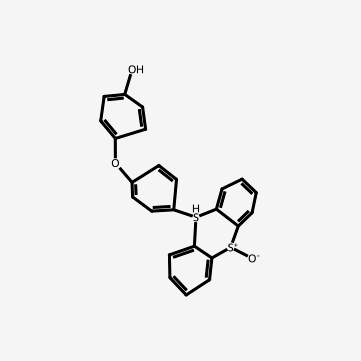 [O-][S+]1c2ccccc2[SH](c2ccc(Oc3ccc(O)cc3)cc2)c2ccccc21